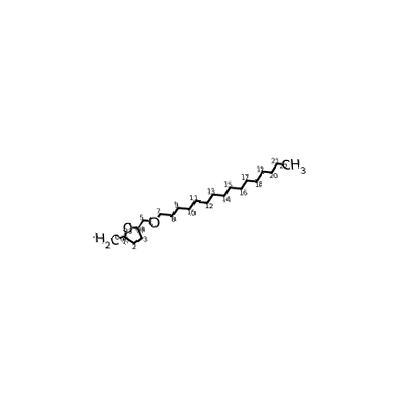 [CH2][C@@H]1CC[C@H](COCCCCCCCCCCCCCCCC)O1